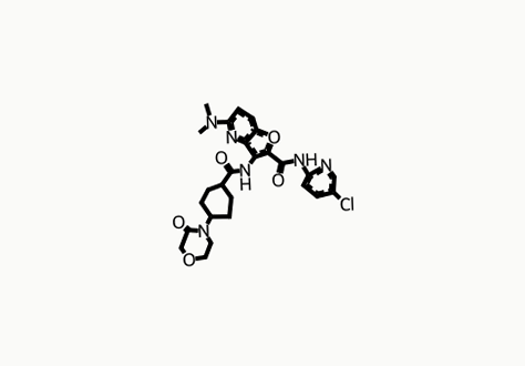 CN(C)c1ccc2oc(C(=O)Nc3ccc(Cl)cn3)c(NC(=O)C3CCC(N4CCOCC4=O)CC3)c2n1